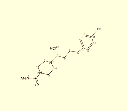 CNC(=S)N1CCN(CCCCc2ccc(F)cc2)CC1.Cl